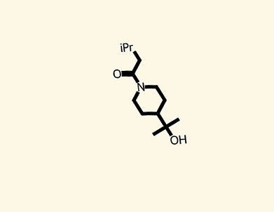 CC(C)CC(=O)N1CCC(C(C)(C)O)CC1